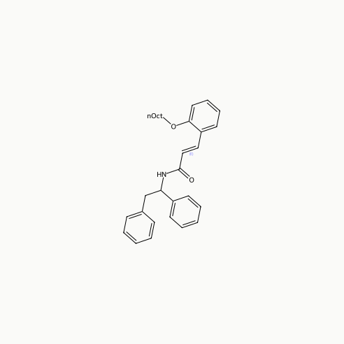 CCCCCCCCOc1ccccc1/C=C/C(=O)NC(Cc1ccccc1)c1ccccc1